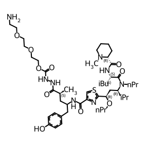 CCCO[C@H](C[C@H](C(C)C)N(CCC)C(=O)[C@@H](NC(=O)[C@H]1CCCCN1C)[C@@H](C)CC)c1nc(C(=O)NC(Cc2ccc(O)cc2)C[C@H](C)C(=O)NNC(=O)OCCOCCOCCN)cs1